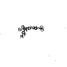 COC(=O)/C=C/c1ccc(CNC2CCN(c3cc(OC)c(Br)c(-c4ccc(C#N)c(F)c4)n3)CC2)cc1